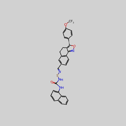 O=C(NS/N=C/c1ccc2c(c1)CCc1c-2noc1-c1ccc(OC(F)(F)F)cc1)Nc1cccc2ccccc12